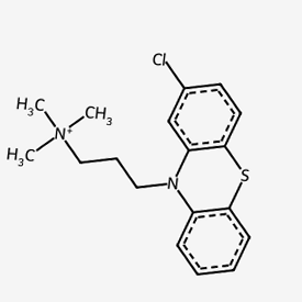 C[N+](C)(C)CCCN1c2ccccc2Sc2ccc(Cl)cc21